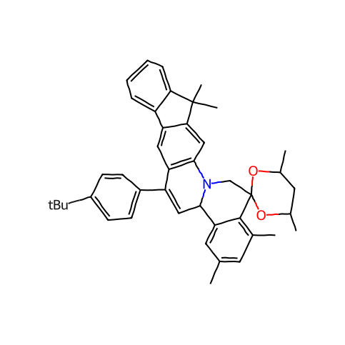 Cc1cc(C)c2c(c1)C1C=C(c3ccc(C(C)(C)C)cc3)c3cc4c(cc3N1CC21OC(C)CC(C)O1)C(C)(C)c1ccccc1-4